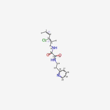 C/C=C\C(Cl)=C(/C)CNC(=O)C(=O)NCCc1ccccn1